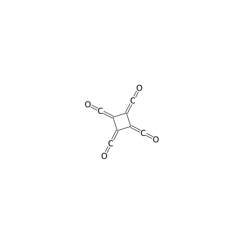 O=C=C1C(=C=O)C(=C=O)C1=C=O